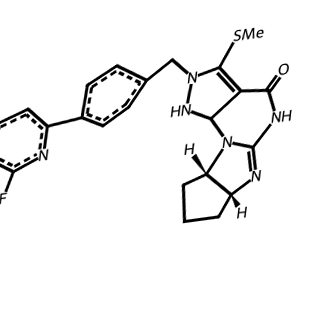 CSC1=C2C(=O)NC3=N[C@@H]4CCC[C@@H]4N3C2NN1Cc1ccc(-c2cccc(F)n2)cc1